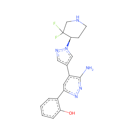 Nc1nnc(-c2ccccc2O)cc1-c1cnn([C@@H]2CCNCC2(F)F)c1